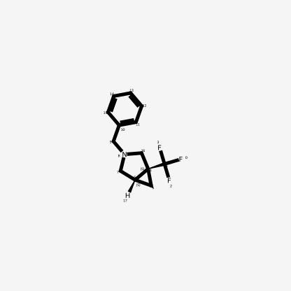 FC(F)(F)[C@@]12C[C@@H]1CN(Cc1ccccc1)C2